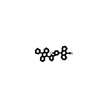 N#Cc1c2ccccc2c(-c2ccc3oc4c(-c5c6ccccc6c(-c6ccccc6)c6ccccc56)cccc4c3c2)c2ccccc12